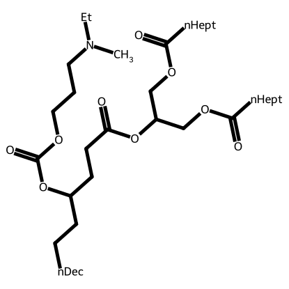 CCCCCCCCCCCCC(CCC(=O)OC(COC(=O)CCCCCCC)COC(=O)CCCCCCC)OC(=O)OCCCN(C)CC